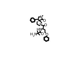 CN1CC(c2ccccc2)[C@@]2(CCCN(C(=O)C(CCOc3ccccc3)NC(=O)C(C)(C)N)C2)C1=O